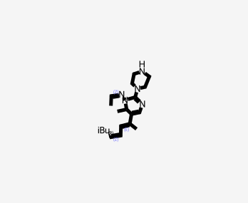 C/C=N\N1C(N2CCNCC2)=NC=C(/C(C)=C/C=C\[C@H](C)CC)C1C